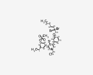 C=Cc1cc(OS(C)(=O)=O)cc(-c2cn(CCl)cc(-c3cccc(OCC(Br)(Br)C=CCCC)c3)c2=S)c1